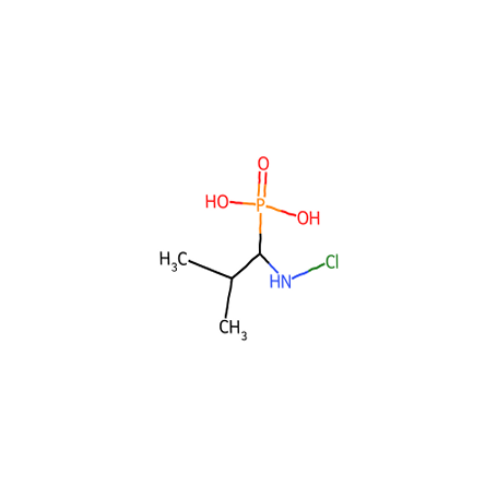 CC(C)C(NCl)P(=O)(O)O